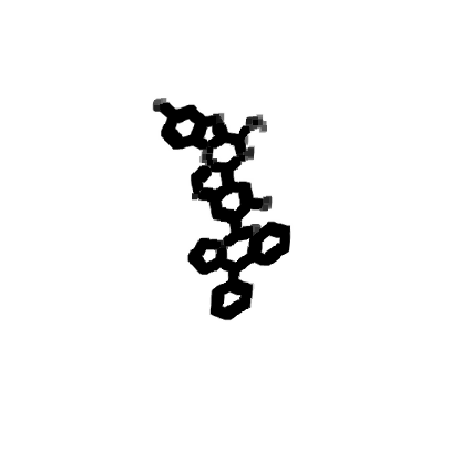 C[C@@H](Nc1ncnc2cc(C(=O)N3CCCC3C(c3ccccc3)c3ccccc3)c(Cl)cc12)c1nc2cc(Cl)ccc2[nH]1